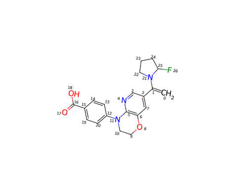 C=C(c1cnc2c(c1)OCCN2c1ccc(C(=O)O)cc1)N1CCCC1F